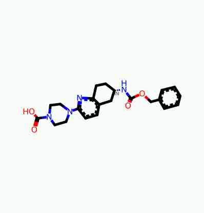 O=C(N[C@H]1CCc2nc(N3CCN(C(=O)O)CC3)ccc2C1)OCc1ccccc1